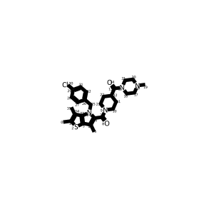 Cc1sc2c(C)c(C(=O)N3CCC(C(=O)N4CCN(C)CC4)CC3)n(Cc3ccc(Cl)cc3)c2c1C